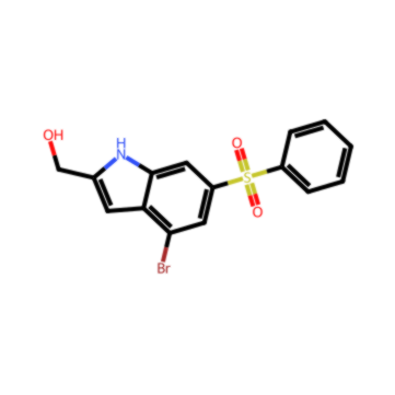 O=S(=O)(c1ccccc1)c1cc(Br)c2cc(CO)[nH]c2c1